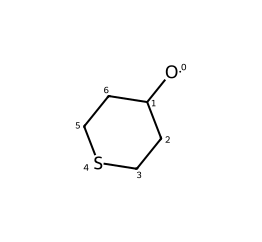 [O]C1CCSCC1